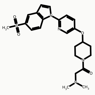 CN(C)CC(=O)N1CCC(Oc2ccc(-n3ccc4cc(S(C)(=O)=O)ccc43)nc2)CC1